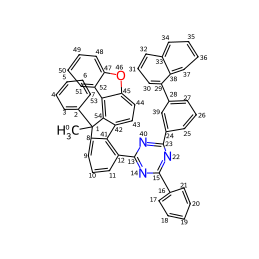 CC1(c2ccccc2)c2cccc(-c3nc(-c4ccccc4)nc(-c4cccc(-c5cccc6ccccc56)c4)n3)c2-c2ccc3oc4ccccc4c3c21